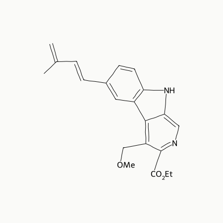 C=C(C)C=Cc1ccc2[nH]c3cnc(C(=O)OCC)c(COC)c3c2c1